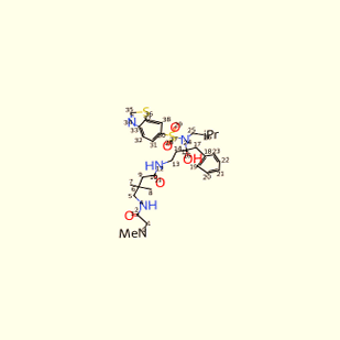 CNCC(=O)NCC(C)(C)CC(=O)NCCC(O)(Cc1ccccc1)N(CC(C)C)S(=O)(=O)c1ccc2ncsc2c1